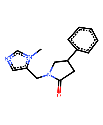 Cn1cncc1CN1CC(c2ccccc2)CC1=O